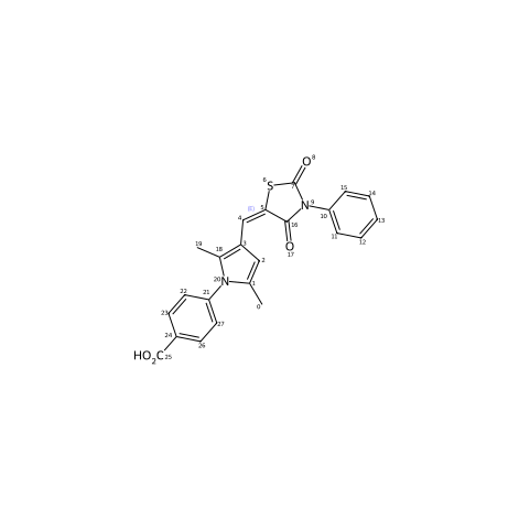 Cc1cc(/C=C2/SC(=O)N(c3ccccc3)C2=O)c(C)n1-c1ccc(C(=O)O)cc1